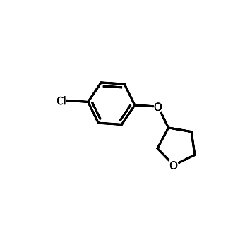 Clc1ccc(OC2CCOC2)cc1